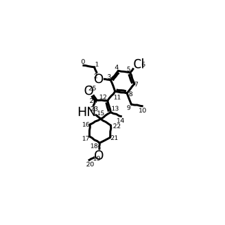 CCOc1cc(Cl)cc(CC)c1C1=C(C)C2(CCC(OC)CC2)NC1=O